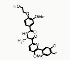 COc1cc(C(=O)N[C@@H](C)C(=O)c2ccc(OC)c(-c3ccc(F)c(Cl)c3)n2)ccc1OCCO